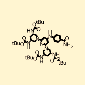 CC(C)(C)OC(=O)N[C@@H]1C[C@H](NC(=O)OC(C)(C)C)CN(c2cc(Nc3ccc(C(N)=O)cc3)cc(N3C[C@H](NC(=O)OC(C)(C)C)C[C@H](NC(=O)OC(C)(C)C)C3)n2)C1